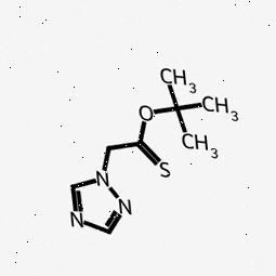 CC(C)(C)OC(=S)Cn1cncn1